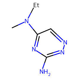 CCN(C)c1cnnc(N)n1